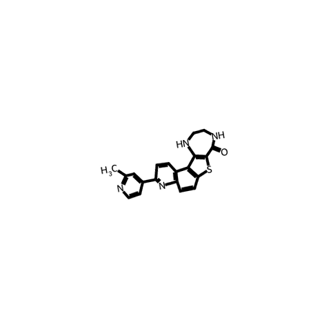 Cc1cc(-c2ccc3c(ccc4sc5c(c43)NCCNC5=O)n2)ccn1